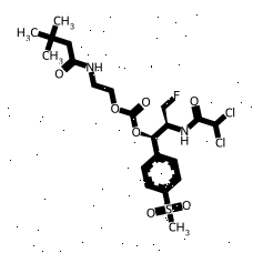 CC(C)(C)CC(=O)NCCOC(=O)O[C@H](c1ccc(S(C)(=O)=O)cc1)[C@@H](CF)NC(=O)C(Cl)Cl